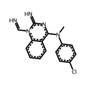 CN(c1ccc(Cl)cc1)c1nc(=N)n(C=N)c2ccccc12